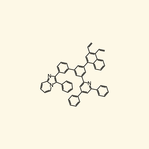 C=Cc1cc(-c2cc(-c3cccc(-c4nc5ccccn5c4-c4ccccc4)c3)cc(-c3cc(-c4ccccc4)cc(-c4ccccc4)n3)c2)c2ccccc2c1C=C